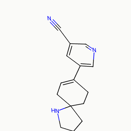 N#Cc1cncc(C2=CCC3(CCCN3)CC2)c1